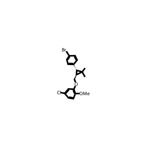 COc1ccc(Cl)cc1OC[C@H]1[C@H](c2ccc(Br)cc2)C1(C)C